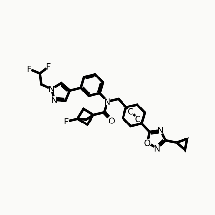 O=C(N(CC12CCC(c3nc(C4CC4)no3)(CC1)CC2)c1cccc(-c2cnn(CC(F)F)c2)c1)C12CC(F)(C1)C2